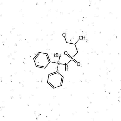 CC(CCl)CS(=O)(=O)N[Si](c1ccccc1)(c1ccccc1)C(C)(C)C